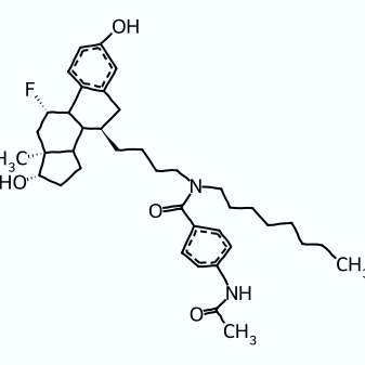 CCCCCCCCN(CCCC[C@@H]1Cc2cc(O)ccc2C2C1C1CC[C@H](O)[C@@]1(C)C[C@@H]2F)C(=O)c1ccc(NC(C)=O)cc1